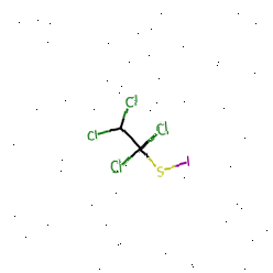 ClC(Cl)C(Cl)(Cl)SI